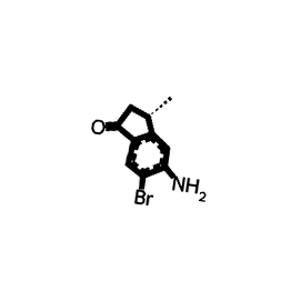 C[C@H]1CC(=O)c2cc(Br)c(N)cc21